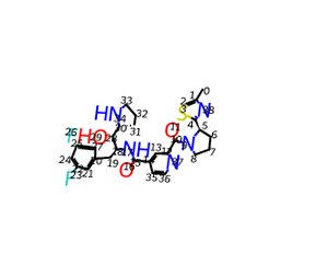 Cc1csc([C@H]2CCCN2C(=O)c2cc(C(=O)N[C@@H](Cc3cc(F)cc(F)c3)[C@H](O)[C@H]3CCCN3)ccn2)n1